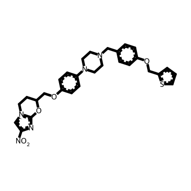 O=[N+]([O-])c1cn2c(n1)OC(COc1ccc(N3CCN(Cc4ccc(OCc5cccs5)cc4)CC3)cc1)CC2